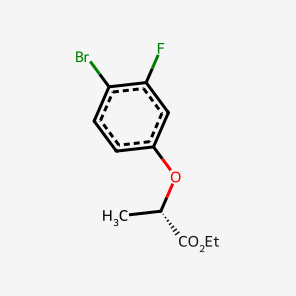 CCOC(=O)[C@H](C)Oc1ccc(Br)c(F)c1